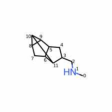 CNCC1CC2C3CC4C2C4C13